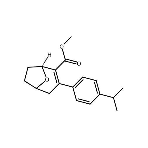 COC(=O)C1=C(c2ccc(C(C)C)cc2)CC2CC[C@@H]1O2